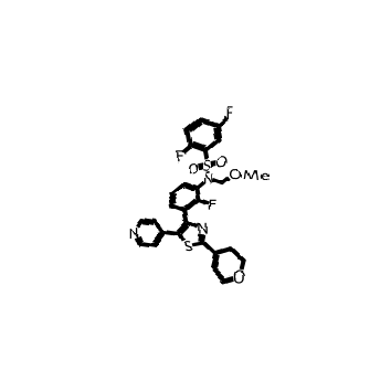 COCN(c1cccc(-c2nc(C3=CCOCC3)sc2-c2ccncc2)c1F)S(=O)(=O)c1cc(F)ccc1F